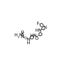 CS(N)(=O)=NC1CC(Nc2ccc(NC(=O)c3cccc(Nc4ccnc5ccc(F)cc45)c3)cc2)C1